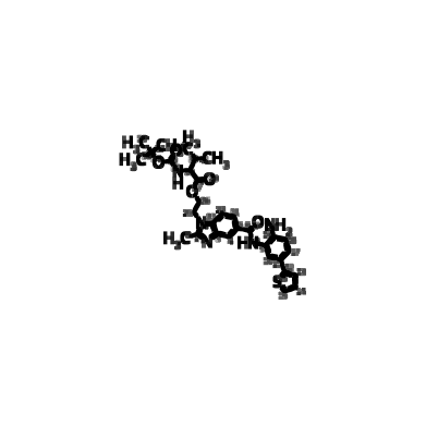 Cc1nc2cc(C(=O)Nc3cc(-c4cccs4)ccc3N)ccc2n1CCOC(=O)C(NC(=O)OC(C)(C)C)C(C)C